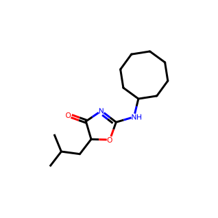 CC(C)CC1OC(NC2CCCCCCC2)=NC1=O